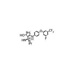 CC(C)NC(=N)c1c(O)nsc1Nc1ccc(Oc2cc(F)cc(C(F)(F)F)c2)cc1